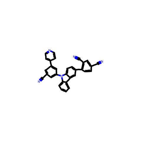 N#Cc1cc(-c2ccncc2)cc(-n2c3ccccc3c3cc(-c4ccc(C#N)cc4C#N)ccc32)c1